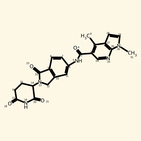 Cc1c(C(=O)Nc2ccc3c(c2)CN(C2CCC(=O)NC2=O)C3=O)cnc2c1ccn2C